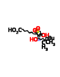 CCCCC(C)(C)C/C=C(/O)[C@H]1[C@@H](O)CS(=O)(=O)[C@H]1CC=CCCCC(=O)O